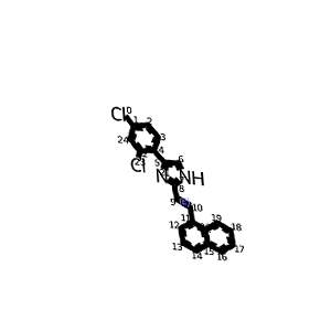 Clc1ccc(-c2c[nH]c(/C=C/c3cccc4ccccc34)n2)c(Cl)c1